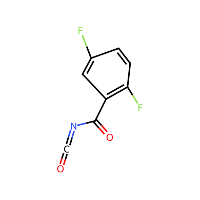 O=C=NC(=O)c1cc(F)ccc1F